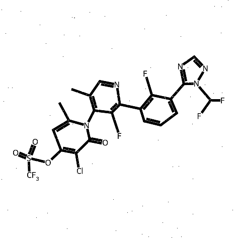 Cc1cnc(-c2cccc(-c3ncnn3C(F)F)c2F)c(F)c1-n1c(C)cc(OS(=O)(=O)C(F)(F)F)c(Cl)c1=O